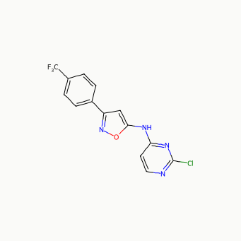 FC(F)(F)c1ccc(-c2cc(Nc3ccnc(Cl)n3)on2)cc1